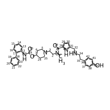 CN(CCN1CCC(OC(=O)Nc2ccccc2-c2ccccc2)CC1)C(=O)c1ccc(CNCCc2ccc(O)cc2)[nH]1